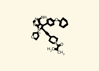 C=C(C)C(=O)N1CCC(C#Cc2c(-c3ccc(Oc4ccccc4)cc3)c3c(N)ncnc3n2[C@H]2CCOC2)CC1